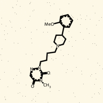 COc1ccccc1C1CCN(CCCCn2ncc(=O)n(C)c2=O)CC1